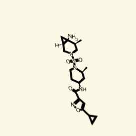 C[C@H]1C[C@@H](NC(=O)c2cc(C3CC3)on2)CCN1S(=O)(=O)N1C[C@H]2C[C@]2(N)[C@@H](C)C1